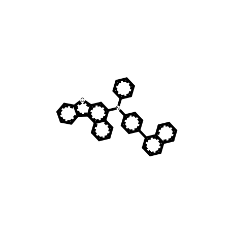 c1ccc(N(c2ccc(-c3cccc4ccccc34)cc2)c2cc3oc4ccccc4c3c3ccccc23)cc1